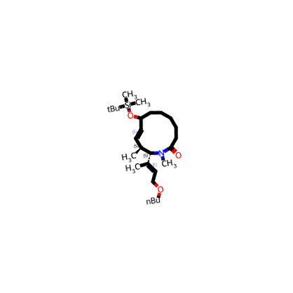 CCCCOC/C=C(\C)[C@@H]1[C@@H](C)/C=C/C(O[Si](C)(C)C(C)(C)C)CCCCCC(=O)N1C